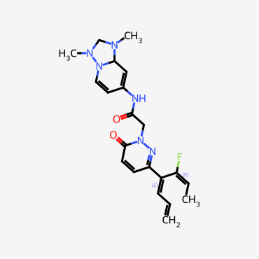 C=C/C=C(\C(F)=C/C)c1ccc(=O)n(CC(=O)NC2=CC3N(C)CN(C)N3C=C2)n1